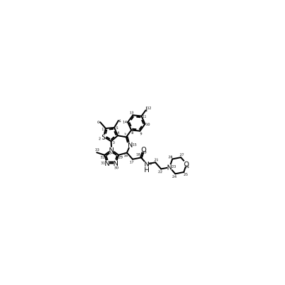 Cc1sc2c(c1C)C(c1ccc(I)cc1)=NC(CC(=O)NCCN1CCOCC1)c1nnc(C)n1-2